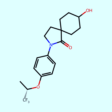 C[C@H](Oc1ccc(N2CCC3(CCC(O)CC3)C2=O)cc1)C(F)(F)F